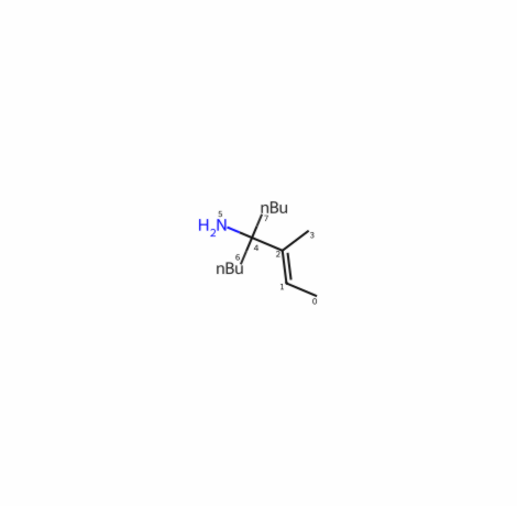 CC=C(C)C(N)(CCCC)CCCC